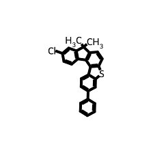 CC1(C)c2cc(Cl)ccc2-c2c1ccc1sc3cc(-c4ccccc4)ccc3c21